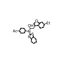 CCc1ccc2c(CC(O)N(c3ccc(C(C)=O)cc3)c3nc4ccccc4s3)coc2c1